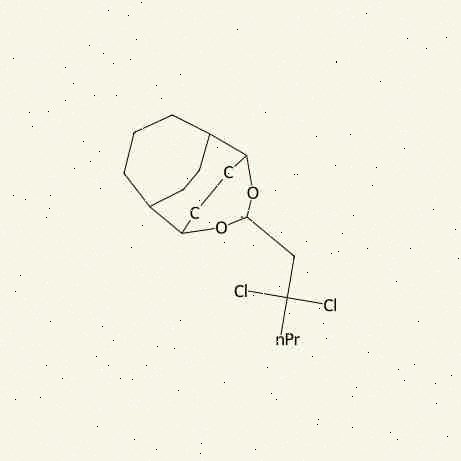 [CH2]CCC(Cl)(Cl)C[C]1OC2CCC(O1)C1CCCC2CC1